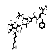 CNCCCCC(=O)N[C@@H](C(=O)N(C)[C@H](C[C@@H](OC(C)=O)c1nc(C(=O)N[C@@H](Cc2ccccc2)C[C@H](C)C(=O)OC)cs1)C(C)C)C(C(F)(F)F)C(F)(F)F